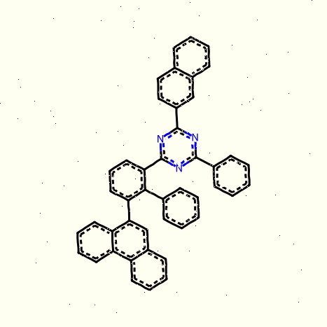 c1ccc(-c2nc(-c3ccc4ccccc4c3)nc(-c3cccc(-c4cc5ccccc5c5ccccc45)c3-c3ccccc3)n2)cc1